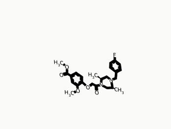 COC(=O)c1ccc(OCC(=O)N2C[C@@H](C)N(Cc3ccc(F)cc3)C[C@@H]2C)c(OC)c1